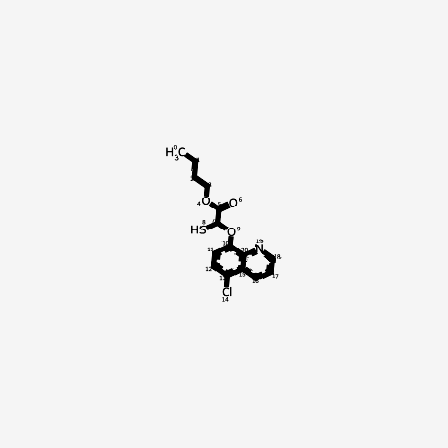 CCCCOC(=O)C(S)Oc1ccc(Cl)c2cccnc12